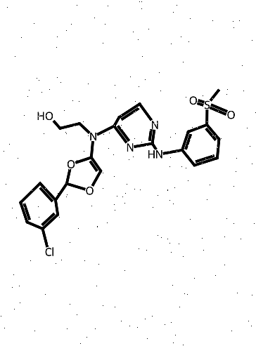 CS(=O)(=O)c1cccc(Nc2nccc(N(CCO)C3=COC(c4cccc(Cl)c4)O3)n2)c1